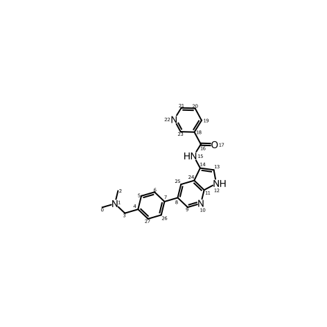 CN(C)Cc1ccc(-c2cnc3[nH]cc(NC(=O)c4cccnc4)c3c2)cc1